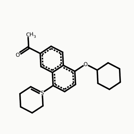 CC(=O)c1ccc2c(OC3CCCCC3)ccc(S3=CCCCC3)c2c1